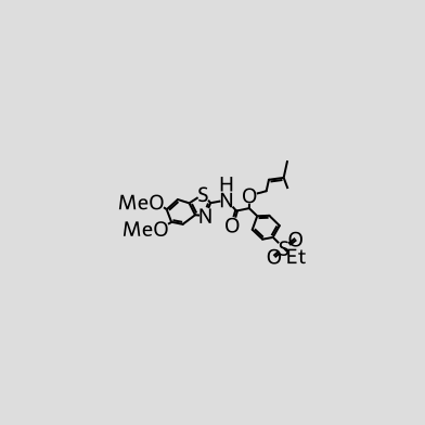 CCS(=O)(=O)c1ccc(C(OCC=C(C)C)C(=O)Nc2nc3cc(OC)c(OC)cc3s2)cc1